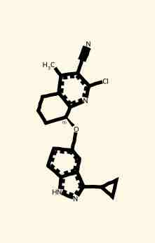 Cc1c(C#N)c(Cl)nc2c1CCC[C@@H]2Oc1ccc2[nH]nc(C3CC3)c2c1